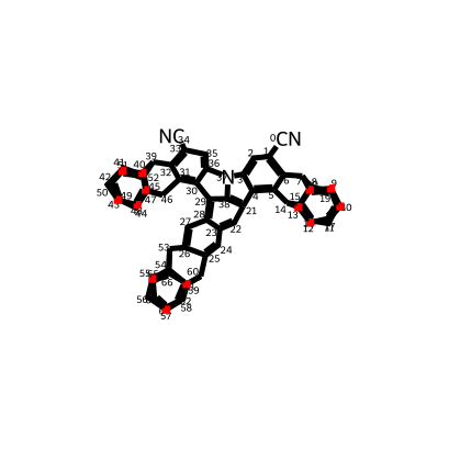 N#Cc1cc2c(c3c1C1c4ccccc4C3c3ccccc31)c1cc3cc4c(cc3c3c5c6c(c(C#N)cc5n2c13)C1c2ccccc2C6c2ccccc21)C1c2ccccc2C4c2ccccc21